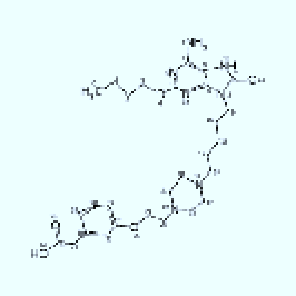 CCCCOc1nc(N)c2[nH]c(=O)n(CCCCCN3CCN(CCOc4cccc(CC(=O)O)c4)CC3)c2n1